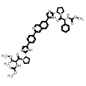 COC(=O)N[C@H](C(=O)N1CCC[C@H]1c1ncc(-c2ccc(-c3cc4ccc(-c5cnc([C@@H]6CCCN6C(=O)[C@H](NC(=O)OC)c6ccccc6)[nH]5)cc4cn3)cc2)[nH]1)[C@@H](C)OC